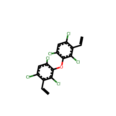 C=Cc1c(Cl)cc(Cl)c(Oc2c(Cl)cc(Cl)c(C=C)c2Cl)c1Cl